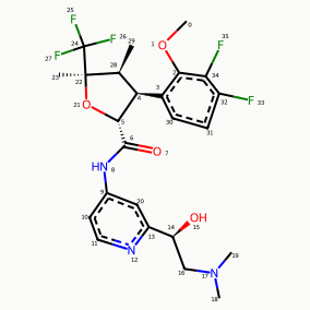 COc1c([C@H]2[C@H](C(=O)Nc3ccnc([C@@H](O)CN(C)C)c3)O[C@@](C)(C(F)(F)F)[C@H]2C)ccc(F)c1F